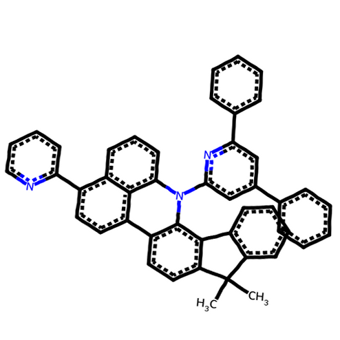 CC1(C)c2ccccc2-c2c1ccc1c2N(c2cc(-c3ccccc3)cc(-c3ccccc3)n2)c2cccc3c(-c4ccccn4)ccc-1c23